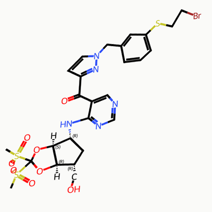 CS(=O)(=O)C1(S(C)(=O)=O)O[C@@H]2[C@@H](CO)C[C@@H](Nc3ncncc3C(=O)c3ccn(Cc4cccc(SCCBr)c4)n3)[C@@H]2O1